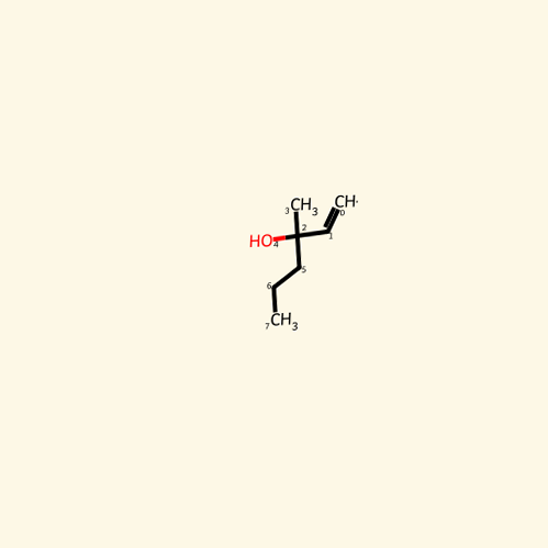 [CH]=CC(C)(O)CCC